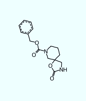 O=C1NCC2(CCCN(C(=O)OCc3ccccc3)C2)O1